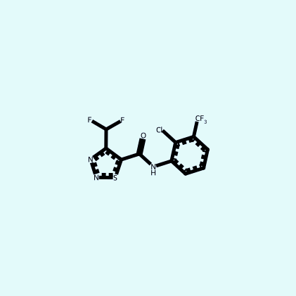 O=C(Nc1cccc(C(F)(F)F)c1Cl)c1snnc1C(F)F